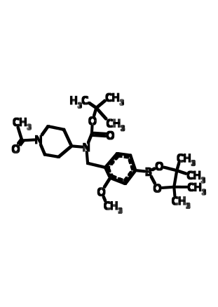 COc1cc(B2OC(C)(C)C(C)(C)O2)ccc1CN(C(=O)OC(C)(C)C)C1CCN(C(C)=O)CC1